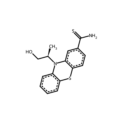 C[C@H](CO)N1c2ccccc2Sc2ccc(C(N)=S)cc21